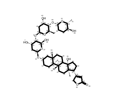 C[C@H]1O[C@@H](O[C@H]2[C@@H](O)C[C@H](O[C@H]3CC[C@@]4(C)[C@@H](CCC5[C@@H]4CC[C@]4(C)[C@@H](C6=CC(=O)OC6)CC[C@]54O)C3)O[C@@H]2O)C[C@H](O)[C@@H]1O[C@H]1CC[C@H](O)[C@@H](C)O1